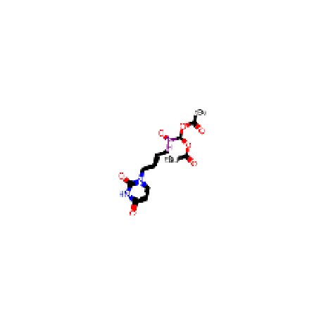 CC(C)(C)C(=O)OC(OC(=O)C(C)(C)C)[PH](=O)C/C=C/Cn1ccc(=O)[nH]c1=O